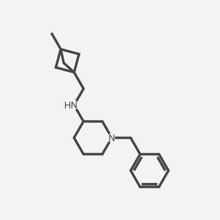 CC12CC(CNC3CCCN(Cc4ccccc4)C3)(C1)C2